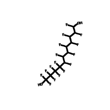 OC(F)C(F)C(F)C(F)C(F)C(F)C(F)C(F)C(F)(F)C(F)(F)C(F)(F)C(O)(F)F